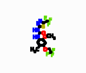 COc1cc(OCC(F)(F)F)c(C)cc1NC(=O)Nc1nnc(C(F)(F)F)s1